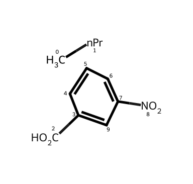 CCCC.O=C(O)c1cccc([N+](=O)[O-])c1